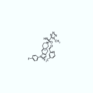 Cn1nnnc1[S@@](=N)(=O)N1CCC2=Cc3c(cnn3-c3ccc(F)cc3)C[C@]2(C(=O)c2cc(C(F)(F)F)ccn2)C1